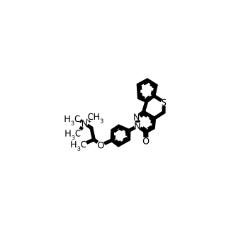 CC(C[N+](C)(C)C)Oc1ccc(-n2nc3c(cc2=O)CSc2ccccc2-3)cc1